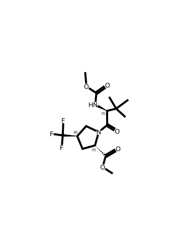 COC(=O)N[C@H](C(=O)N1C[C@H](C(F)(F)F)C[C@H]1C(=O)OC)C(C)(C)C